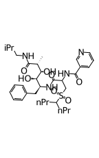 CCCC(CCC)S(=O)(=O)CC(NC(=O)c1cccnc1)C(=O)N[C@@H](Cc1ccccc1)[C@@H](O)[C@H](O)[C@@H](C)C(=O)NCC(C)C